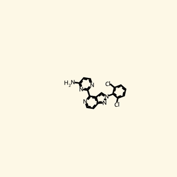 Nc1ccnc(-c2nccc3nn(-c4c(Cl)cccc4Cl)cc23)n1